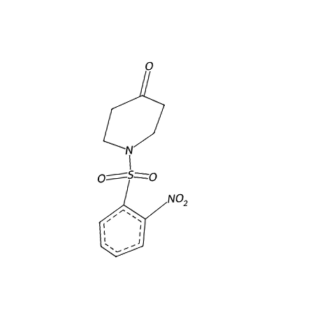 O=C1CCN(S(=O)(=O)c2ccccc2[N+](=O)[O-])CC1